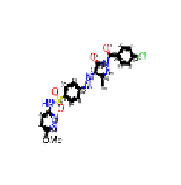 COc1ccc(NS(=O)(=O)c2ccc(/N=N/C3C(=O)N(C(=O)c4ccc(Cl)cc4)N=C3C)cc2)nn1